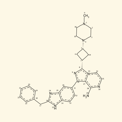 CN1CCN([C@H]2C[C@@H](c3nc(-c4ccc5[nH]c(Cc6ccccc6)nc5c4)c4c(N)nccn43)C2)CC1